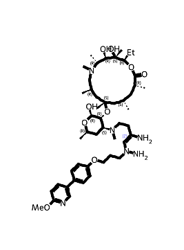 CC[C@H]1OC(=O)[C@H](C)C[C@H](C)C[C@](C)(O[C@H]2[C@H](O)O[C@H](C)C[C@@H]2N(C)CC/C(N)=C/N(N)CCCOc2ccc(-c3ccc(OC)nc3)cc2)C[C@@H](C)CN(C)[C@H](C)[C@@H](O)[C@]1(C)O